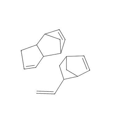 C1=CC2C3C=CC(C3)C2C1.C=CC1CC2C=CC1C2